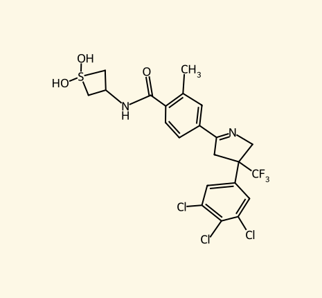 Cc1cc(C2=NCC(c3cc(Cl)c(Cl)c(Cl)c3)(C(F)(F)F)C2)ccc1C(=O)NC1CS(O)(O)C1